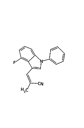 C/C(C#N)=C/c1cn(-c2ccccc2)c2cccc(F)c12